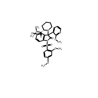 COc1ccc(S(=O)(=O)N2C(=O)C(c3cccnc3OC)(N3CCCC[C@H]3C(=O)N(C)C)c3cc(Cl)ccc32)c(OC)c1